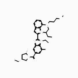 CCC1CN(CCCOC)c2cccc3cc(-c4nc5cc(C(=O)N6C[C@@H](CI)C[C@H]6I)cc(F)c5n4CC)n1c23